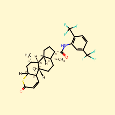 C[C@H]1C[C@H]2SC(=O)C=C[C@]2(C)[C@H]2CC[C@]3(C)[C@@H](C(=O)Nc4cc(C(F)(F)F)ccc4C(F)(F)F)CC[C@H]3[C@H]12